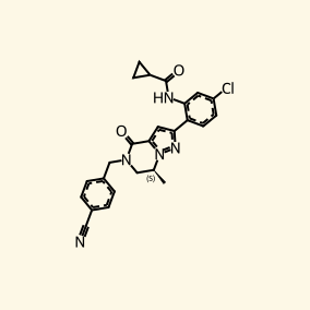 C[C@H]1CN(Cc2ccc(C#N)cc2)C(=O)c2cc(-c3ccc(Cl)cc3NC(=O)C3CC3)nn21